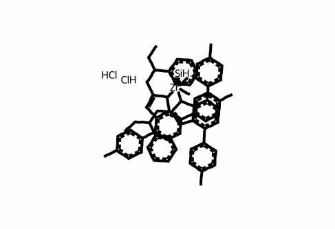 CCC(CC1=Cc2c(-c3ccc(C)cc3)ccc(-c3ccc(C)cc3)c2[CH]1[Zr]([CH3])([CH3])(=[SiH2])[CH]1C(CC(CC)c2ccccc2)=Cc2c(-c3ccc(C)cc3)ccc(-c3ccc(C)cc3)c21)c1ccccc1.Cl.Cl